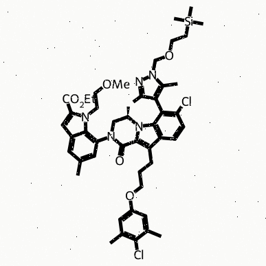 CCOC(=O)c1cc2cc(C)cc(N3C[C@@H](C)n4c(c(CCCOc5cc(C)c(Cl)c(C)c5)c5ccc(Cl)c(-c6c(C)nn(COCC[Si](C)(C)C)c6C)c54)C3=O)c2n1CCOC